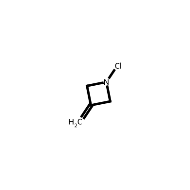 C=C1CN(Cl)C1